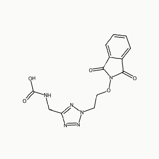 O=C(O)NCc1nnn(CCON2C(=O)c3ccccc3C2=O)n1